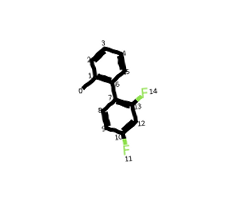 Cc1ccc[c]c1-c1ccc(F)cc1F